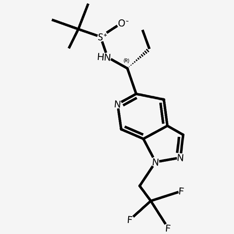 CC[C@@H](N[S+]([O-])C(C)(C)C)c1cc2cnn(CC(F)(F)F)c2cn1